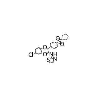 O=C(Nc1nccs1)C(Oc1ccc(Cl)cc1)c1ccc(S(=O)(=O)C2CCCC2)cc1